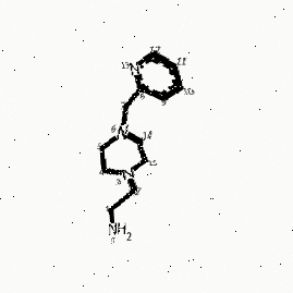 NCCN1CCN(Cc2ccccn2)CC1